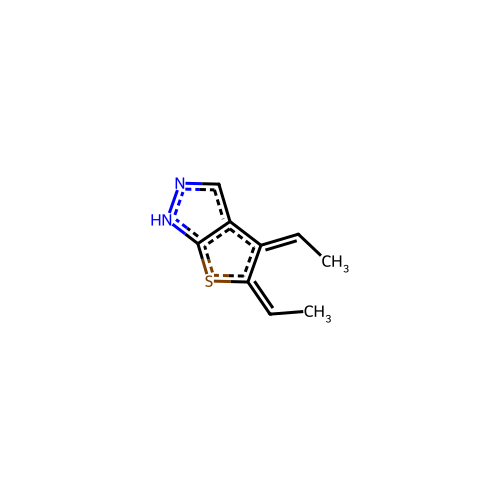 C/C=c1\c(=C/C)sc2[nH]ncc12